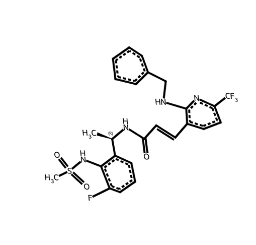 C[C@@H](NC(=O)C=Cc1ccc(C(F)(F)F)nc1NCc1ccccc1)c1cccc(F)c1NS(C)(=O)=O